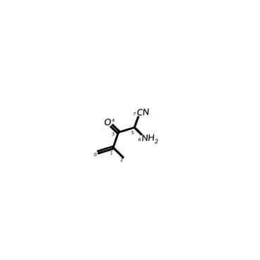 C=C(C)C(=O)C(N)C#N